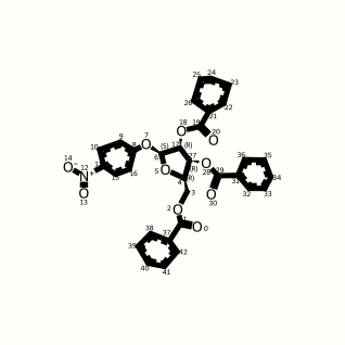 O=C(OC[C@H]1O[C@@H](Oc2ccc([N+](=O)[O-])cc2)[C@H](OC(=O)c2ccccc2)[C@@H]1OC(=O)c1ccccc1)c1ccccc1